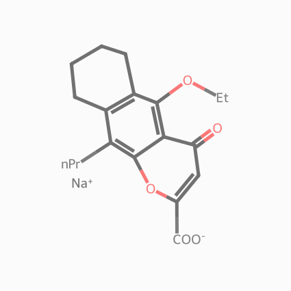 CCCc1c2c(c(OCC)c3c(=O)cc(C(=O)[O-])oc13)CCCC2.[Na+]